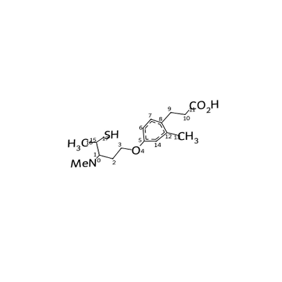 CNC(CCOc1ccc(CCC(=O)O)c(C)c1)C(C)S